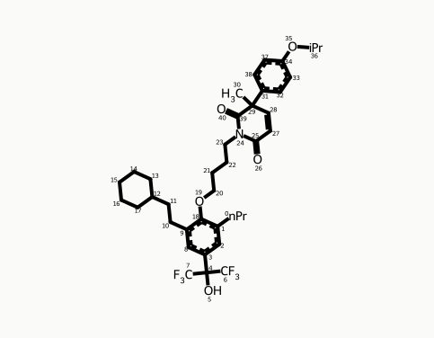 CCCc1cc(C(O)(C(F)(F)F)C(F)(F)F)cc(CCC2CCCCC2)c1OCCCCN1C(=O)C=CC(C)(c2ccc(OC(C)C)cc2)C1=O